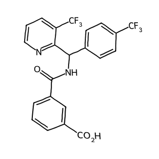 O=C(O)c1cccc(C(=O)NC(c2ccc(C(F)(F)F)cc2)c2ncccc2C(F)(F)F)c1